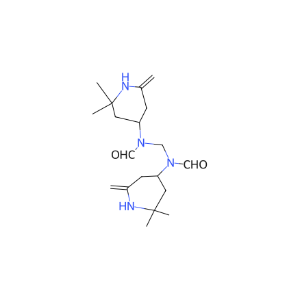 C=C1CC(N(C=O)CN(C=O)C2CC(=C)NC(C)(C)C2)CC(C)(C)N1